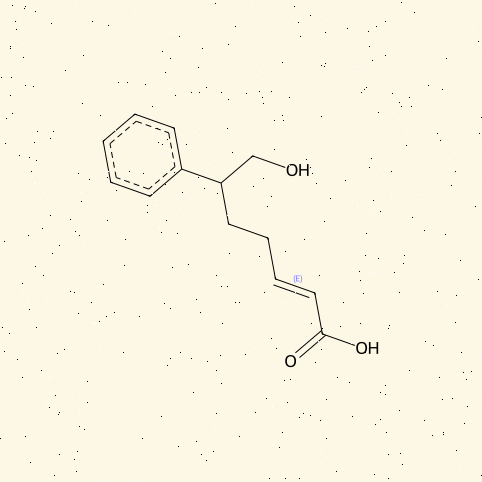 O=C(O)/C=C/CCC(CO)c1ccccc1